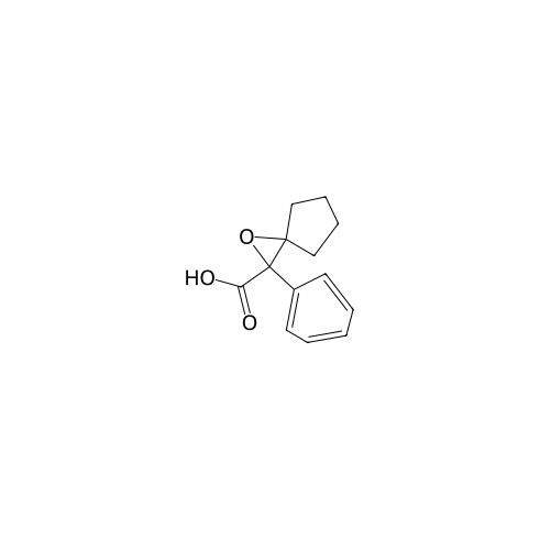 O=C(O)C1(c2ccccc2)OC12CCCC2